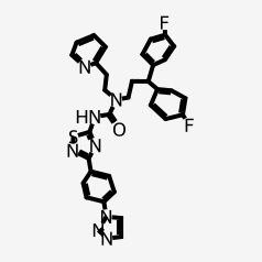 O=C(Nc1nc(-c2ccc(-n3ccnn3)cc2)ns1)N(CCc1ccccn1)CCC(c1ccc(F)cc1)c1ccc(F)cc1